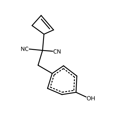 N#CC(C#N)(Cc1ccc(O)cc1)C1C=CC1